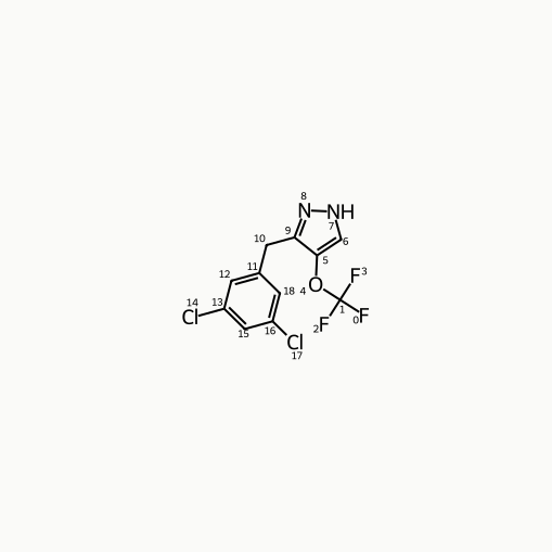 FC(F)(F)Oc1c[nH]nc1Cc1cc(Cl)cc(Cl)c1